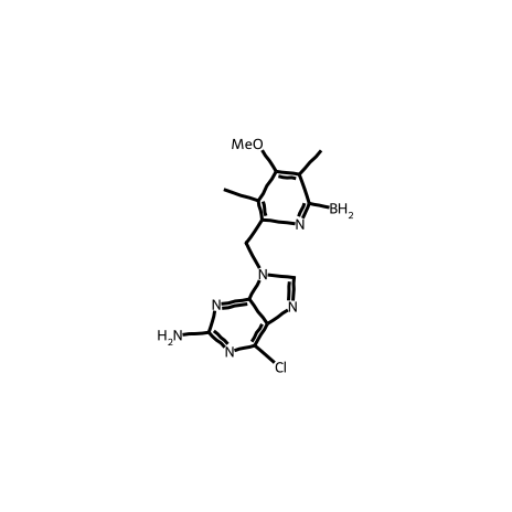 Bc1nc(Cn2cnc3c(Cl)nc(N)nc32)c(C)c(OC)c1C